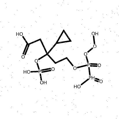 O=C(O)CC(CCOP(=O)(OOO)[PH](=O)O)(OP(=O)(O)O)C1CC1